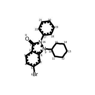 O=c1c2ccc(Br)cc2n(C2CCCCC2)n1-c1ccccc1